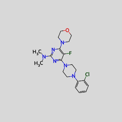 CN(C)c1nc(N2CCOCC2)c(F)c(N2CCN(c3ccccc3Cl)CC2)n1